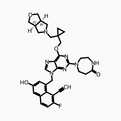 C#Cc1c(F)ccc2cc(O)cc(Cn3cnc4c(OCC5(CN6C[C@H]7COC[C@H]7C6)CC5)nc(N5CCNC(=O)CC5)nc43)c12